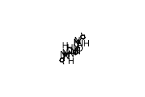 Cc1cccc(-c2n[nH]c(C(=O)Nc3ccnc(NC(=O)c4nnc(-c5cccc(C)c5)[nH]4)n3)n2)c1